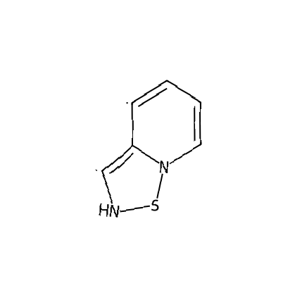 [C]1=CC=CN2SN[C]=C12